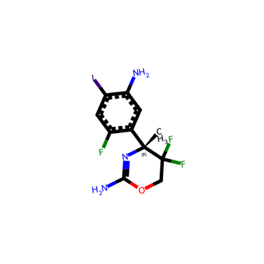 C[C@]1(c2cc(N)c(I)cc2F)N=C(N)OCC1(F)F